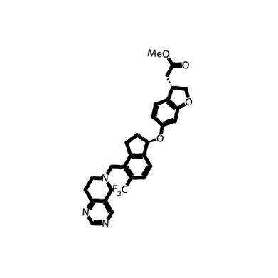 COC(=O)C[C@@H]1COc2cc(O[C@@H]3CCc4c3ccc(C(F)(F)F)c4CN3CCc4ncncc4C3)ccc21